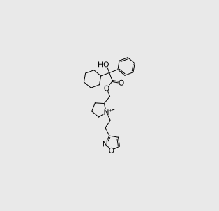 C[N+]1(CCc2ccon2)CCCC1COC(=O)C(O)(c1ccccc1)C1CCCCC1